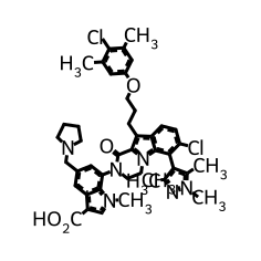 Cc1cc(OCCCc2c3n(c4c(-c5c(C)nn(C)c5C)c(Cl)ccc24)C(C)CN(c2cc(CN4CCCC4)cc4c(C(=O)O)cn(C)c24)C3=O)cc(C)c1Cl